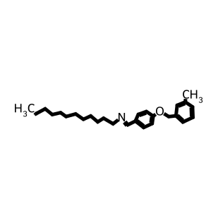 CCCCCCCCCCCCN=Cc1ccc(OCc2cccc(C)c2)cc1